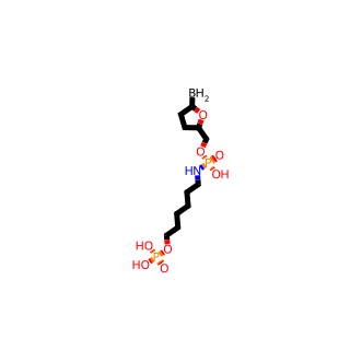 BC1CCC(COP(=O)(O)NCCCCCCOP(=O)(O)O)O1